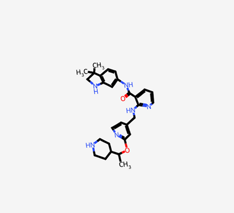 CC(Oc1cc(CNc2ncccc2C(=O)Nc2ccc3c(c2)NCC3(C)C)ccn1)C1CCNCC1